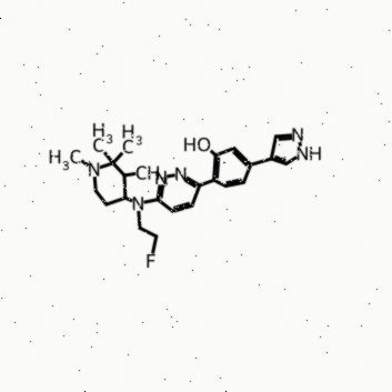 CC1C(N(CCF)c2ccc(-c3ccc(-c4cn[nH]c4)cc3O)nn2)CCN(C)C1(C)C